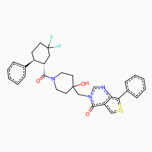 O=C([C@H]1CC(F)(F)CC[C@@H]1c1ccccc1)N1CCC(O)(Cn2cnc3c(-c4ccccc4)scc3c2=O)CC1